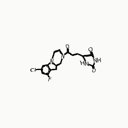 O=C1NC(=O)C(CCC(=O)N2CCN3c4cc(Cl)cc(F)c4CC3C2)N1